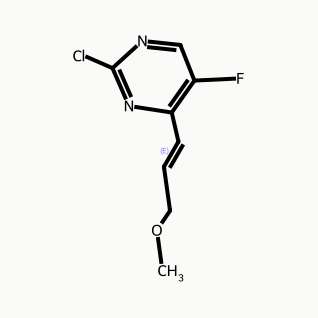 COC/C=C/c1nc(Cl)ncc1F